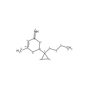 CCCCC1(C2CC(=N)C=C(C)C2)CC1